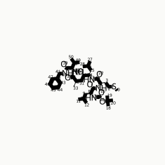 CSCC[C@H](NC(=O)[C@H](CC(C)C)NC(=O)OC(C)(C)C)C(=O)N[C@@H](CC(C)C)[C@H](O)C[C@H](C)C(=O)N[C@H](C(=O)NCc1ccccc1)C(C)C